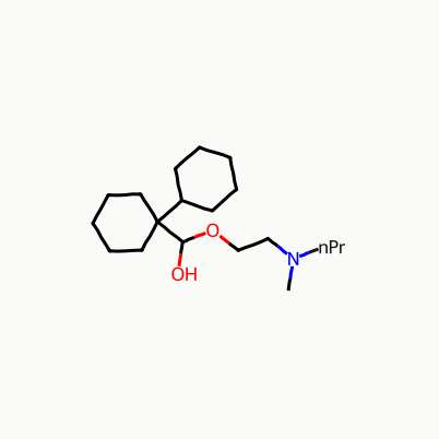 CCCN(C)CCOC(O)C1(C2CCCCC2)CCCCC1